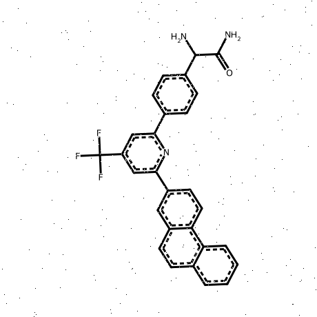 NC(=O)C(N)c1ccc(-c2cc(C(F)(F)F)cc(-c3ccc4c(ccc5ccccc54)c3)n2)cc1